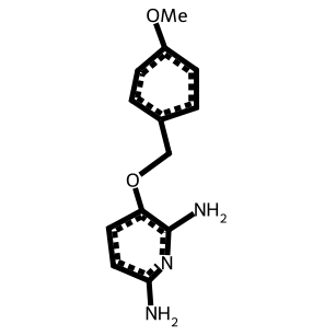 COc1ccc(COc2ccc(N)nc2N)cc1